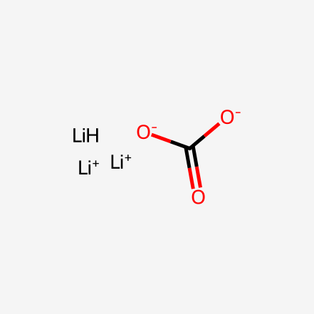 O=C([O-])[O-].[Li+].[Li+].[LiH]